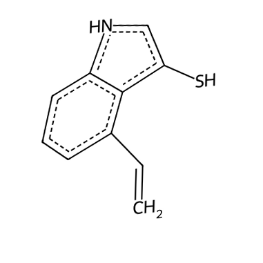 C=Cc1cccc2[nH]cc(S)c12